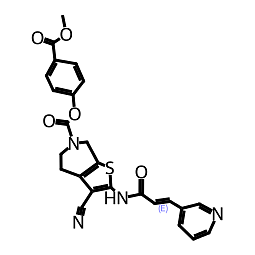 COC(=O)c1ccc(OC(=O)N2CCc3c(sc(NC(=O)/C=C/c4cccnc4)c3C#N)C2)cc1